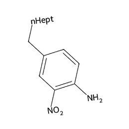 CCCCCCCCc1ccc(N)c([N+](=O)[O-])c1